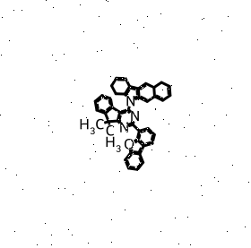 CC1(C)c2ccccc2-c2c(-n3c4c(c5c3=CC3=CC=CCC3C=5)C=CCC4)nc(-c3cccc4c3oc3ccccc34)nc21